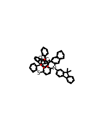 CC1(C)c2ccccc2-c2ccc(N(c3ccc4c(c3)C3(c5ccccc5S4)c4ccccc4-c4ccccc43)c3cc4ccccc4cc3-c3cccc4oc5ccccc5c34)cc21